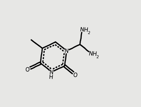 Cc1cn(C(N)N)c(=O)[nH]c1=O